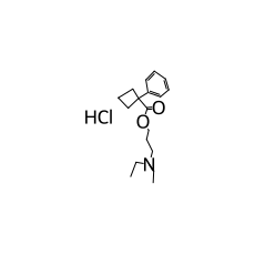 CCN(CC)CCCOC(=O)C1(c2ccccc2)CCC1.Cl